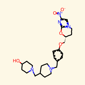 O=[N+]([O-])c1cn2c(n1)O[C@@H](COc1ccc(CN3CCC(CN4CCC(O)CC4)CC3)cc1)CC2